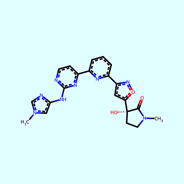 CN1CC[C@@](O)(c2cc(-c3cccc(-c4ccnc(Nc5cn(C)cn5)n4)n3)no2)C1=O